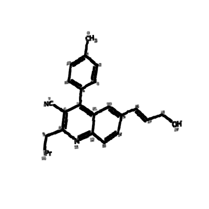 Cc1ccc(-c2c(C#N)c(CC(C)C)nc3ccc(C=CCO)cc23)cc1